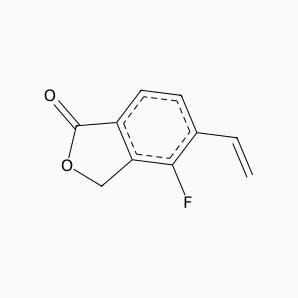 C=Cc1ccc2c(c1F)COC2=O